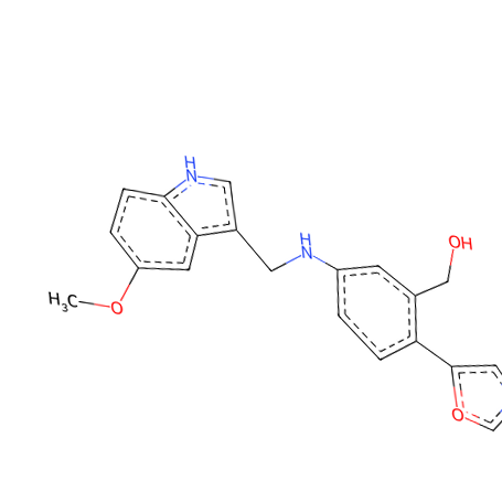 COc1ccc2[nH]cc(CNc3ccc(-c4cnco4)c(CO)c3)c2c1